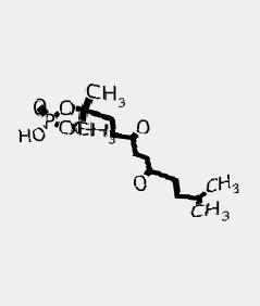 CC(C)CCC(=O)CCC(=O)CCC(C)(C)OP(=O)(O)O